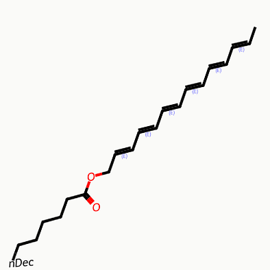 C/C=C/C=C/C=C/C=C/C=C/C=C/COC(=O)CCCCCCCCCCCCCCC